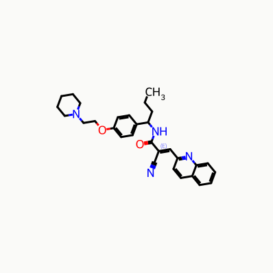 CCCC(NC(=O)/C(C#N)=C/c1ccc2ccccc2n1)c1ccc(OCCN2CCCCC2)cc1